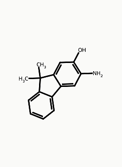 CC1(C)c2ccccc2-c2cc(N)c(O)cc21